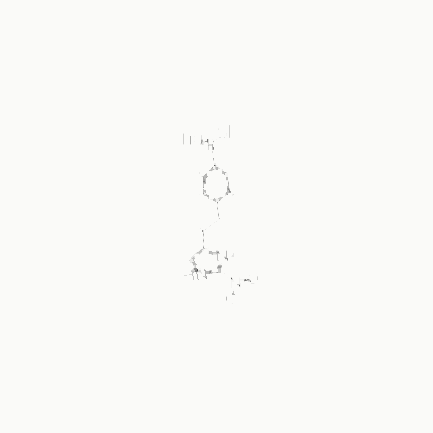 O=[N+]([O-])c1nc(CCc2ccc(B(O)O)cc2)c[nH]1